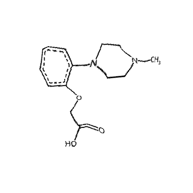 CN1CCN(c2ccccc2OCC(=O)O)CC1